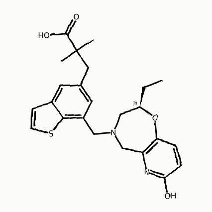 CC[C@@H]1CN(Cc2cc(CC(C)(C)C(=O)O)cc3ccsc23)Cc2nc(O)ccc2O1